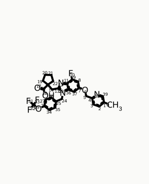 Cc1ccc(COc2cc(F)c3nc(CC4(C(=O)O)CCCC4)n(Cc4ccc(OC(F)(F)F)cc4)c3c2)nc1